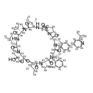 CC[C@H](C)C1NC(=O)[C@@H]2CCCN2C(=O)[C@H](Cc2cccc(-c3ccnc(C(C)C)c3)c2)N(C)C(=O)[C@H](Cc2ccccc2)NC(=O)[C@H](C(C)C)N(C)C(=O)[C@@H]([C@@H](C)CC)OC(=O)[C@H](C(C)(C)O)N(C)C(=O)[C@H](CC(C)C)NC(=O)[C@H](C(C)C)N(C)C1=O